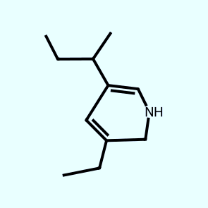 CCC1=CC(C(C)CC)=CNC1